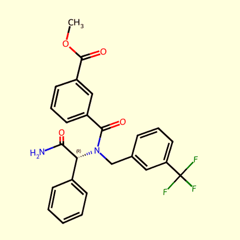 COC(=O)c1cccc(C(=O)N(Cc2cccc(C(F)(F)F)c2)[C@@H](C(N)=O)c2ccccc2)c1